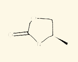 C[C@@H]1COC(=O)[N]1